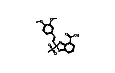 COc1ccc(C=CC2(S(C)(=O)=O)N=c3cccc(C(=O)O)c3=N2)cc1OC